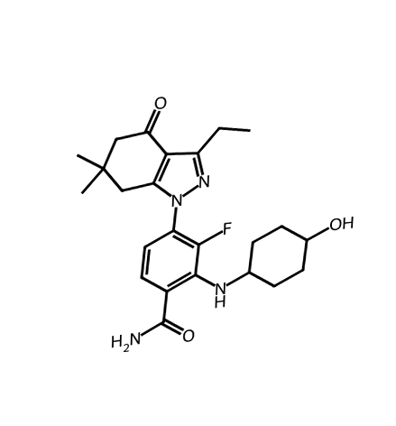 CCc1nn(-c2ccc(C(N)=O)c(NC3CCC(O)CC3)c2F)c2c1C(=O)CC(C)(C)C2